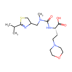 CC(C)C1=NC(CN(C)C(=O)N[C@@H](CCN2CCOCC2)C(=O)O)CS1